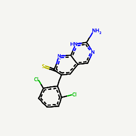 Nc1ncc2cc(-c3c(Cl)cccc3Cl)c(=S)nc-2[nH]1